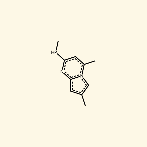 CPc1cc(C)n2cc(C)cc2n1